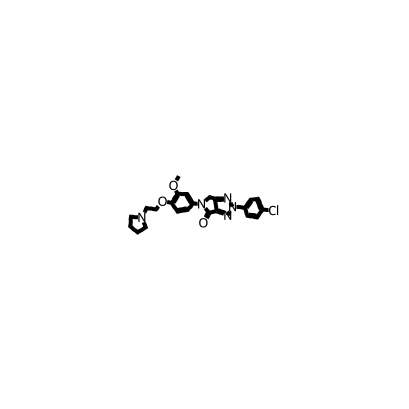 COc1cc(N2Cc3nn(-c4ccc(Cl)cc4)nc3C2=O)ccc1OCCN1CCCC1